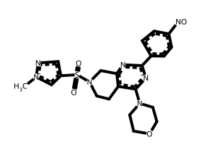 Cn1cc(S(=O)(=O)N2CCc3c(nc(-c4ccc(N=O)cc4)nc3N3CCOCC3)C2)cn1